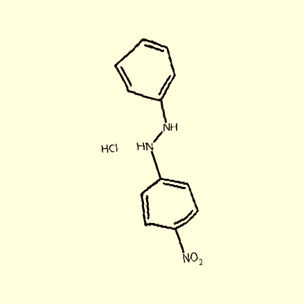 Cl.O=[N+]([O-])c1ccc(NNc2ccccc2)cc1